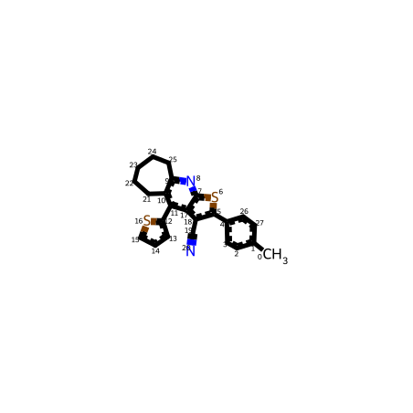 Cc1ccc(-c2sc3nc4c(c(-c5cccs5)c3c2C#N)CCCCC4)cc1